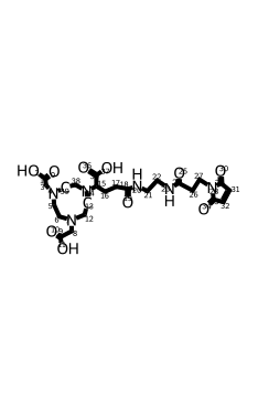 O=C(O)CN1CCN(CC(=O)O)CCN(C(CCC(=O)NCCNC(=O)CCN2C(=O)C=CC2=O)C(=O)O)CC1